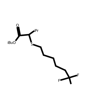 CC(C)COC(=O)C(SCCCCCC(C)(F)F)C(C)C